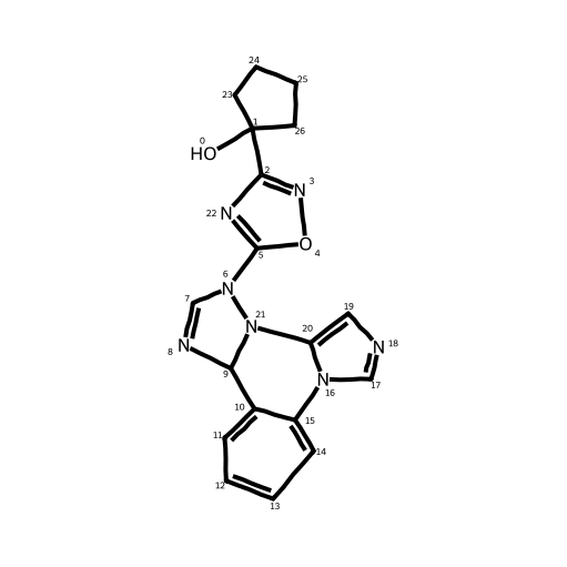 OC1(c2noc(N3C=NC4c5ccccc5-n5cncc5N43)n2)CCCC1